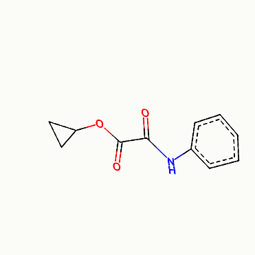 O=C(Nc1ccccc1)C(=O)OC1CC1